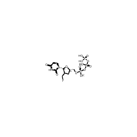 O=c1ccn([C@@H]2O[C@H](COP(=O)(O)OP(=O)(O)OP(=O)(O)O)CC2CF)c(=O)[nH]1